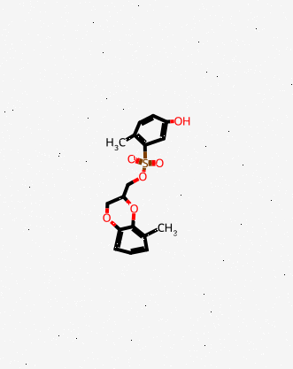 Cc1ccc(O)cc1S(=O)(=O)OCC1COc2cccc(C)c2O1